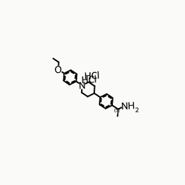 CCOc1ccc(N2CCC(c3ccc([C@H](C)N)cc3)CC2)cc1.Cl.Cl